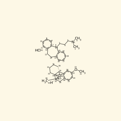 CN(C)CCCN1c2ccccc2CCc2ccccc21.COc1ccc2c(c1)[C@]13CCCC[C@@H]1[C@H](C2)N(C)CC3.Cl